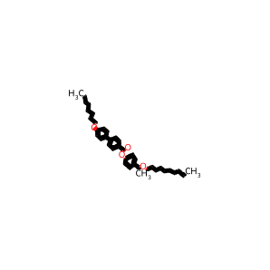 CCCCCCCCCCOC(C)c1ccc(OC(=O)c2ccc(-c3ccc(OCCCCCCCC)cc3)cc2)cc1